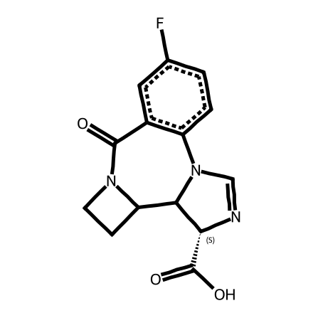 O=C(O)[C@H]1N=CN2c3ccc(F)cc3C(=O)N3CCC3C12